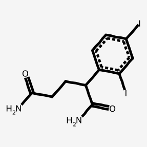 NC(=O)CCC(C(N)=O)c1ccc(I)cc1I